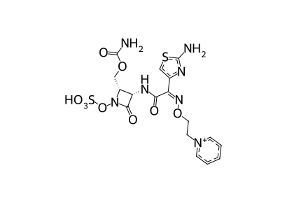 NC(=O)OC[C@@H]1[C@H](NC(=O)/C(=N\OCC[n+]2ccccc2)c2csc(N)n2)C(=O)N1OS(=O)(=O)O